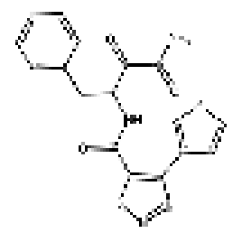 NC(=O)C(=O)C(Cc1ccccc1)NC(=O)c1snnc1-c1ccsc1